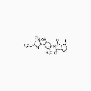 Cc1cc(N2N=C(CC(F)(F)F)CC2(O)C(F)(F)F)ccc1N1C(=O)c2cccc(I)c2C1=O